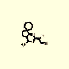 CC/C(C=N)=C1\N=C2C(=C(N)N1)CCC21CCCCC1